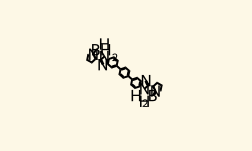 BN1CCC[C@H]1c1nc2cc(-c3ccc(-c4ccc5[nH]c([C@@H]6CCCN6B)nc5c4)cc3)ccc2[nH]1